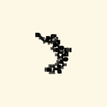 CCC#CCn1cc(-c2cnc(C(=O)Nc3ccc(C(=O)N4CCN(C(=O)C5CCNCC5)CC4)c(Cl)c3)n2C)c(C(F)(F)F)n1.Cl